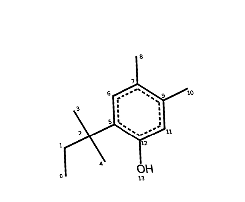 CCC(C)(C)c1cc(C)c(C)cc1O